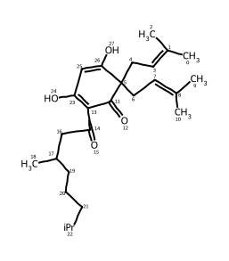 CC(C)=CCC1(CC=C(C)C)C(=O)C(C(=O)CC(C)CCCC(C)C)=C(O)C=C1O